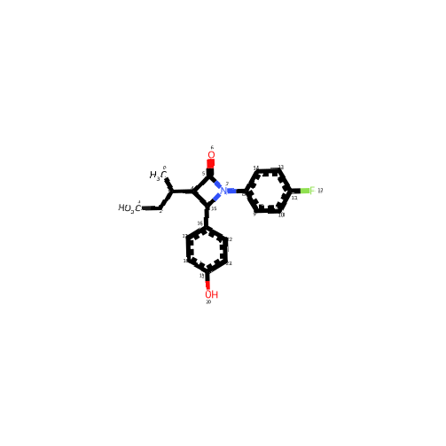 CC(CC(=O)O)C1C(=O)N(c2ccc(F)cc2)C1c1ccc(O)cc1